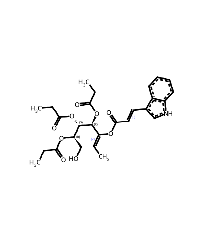 C/C=C(\OC(=O)/C=C/c1c[nH]c2ccccc12)[C@H](OC(=O)CC)[C@@H](OC(=O)CC)[C@@H](CO)OC(=O)CC